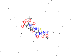 CO/N=C(/C(=O)N[C@@H]1C(=O)N2C(C(=O)OC(C)(C)C)=C(C(=O)OC)CC[C@H]12)c1csc(NC(=O)OC(C)(C)C)n1